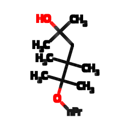 CCCOC(C)(C)C(C)(C)CC(C)(C)O